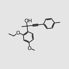 CCOc1cc(OC)ccc1C(C)(O)C#Cc1ccc(C)cc1